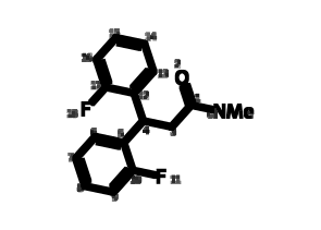 CNC(=O)CC(c1ccccc1F)c1ccccc1F